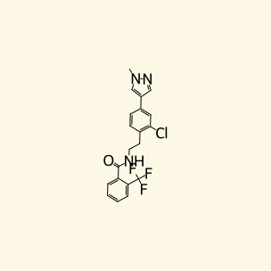 Cn1cc(-c2ccc(CCNC(=O)c3ccccc3C(F)(F)F)c(Cl)c2)cn1